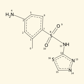 Cc1cc(N)ccc1S(=O)(=O)Nc1nncs1